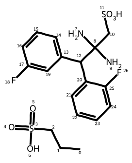 CCCS(=O)(=O)O.NC(N)(CS(=O)(=O)O)C(c1cccc(F)c1)c1ccccc1F